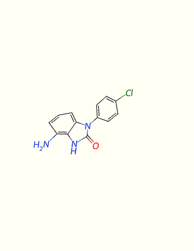 Nc1cccc2c1[nH]c(=O)n2-c1ccc(Cl)cc1